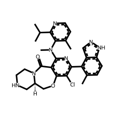 Cc1ccnc(C(C)C)c1N(C)c1nc(-c2c(C)ccc3[nH]ncc23)c(Cl)c2c1C(=O)N1CCNC[C@@H]1CO2